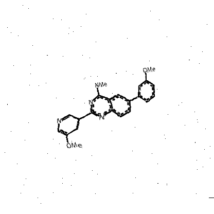 CNc1nc(C2C=NC=C(OC)C2)nc2ccc(-c3cccc(OC)c3)cc12